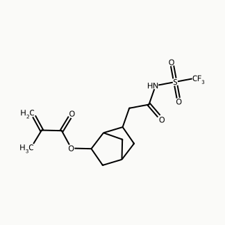 C=C(C)C(=O)OC1CC2CC(CC(=O)NS(=O)(=O)C(F)(F)F)C1C2